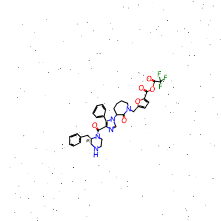 O=C(OC(=O)C(F)(F)F)c1ccc(CN2CCCCC(n3cnc(C(=O)N4CCNC[C@H]4Cc4ccccc4)c3-c3ccccc3)C2=O)o1